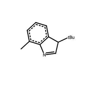 Cc1cccc2c1N=CC2C(C)(C)C